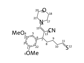 COc1cc(OC)cc(C(CCCC=S)C(C#N)=CN2CCOCC2)c1